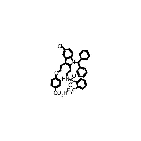 O=C(O)c1ccc(OCCc2c(CCNS(=O)(=O)c3ccccc3C(F)(F)F)n(C(c3ccccc3)c3ccccc3)c3ccc(Cl)cc23)cc1